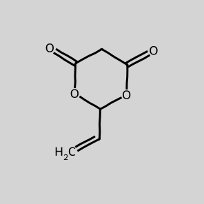 C=CC1OC(=O)CC(=O)O1